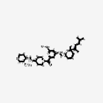 COc1cc(NC[C@H]2CCCC(C)(/C(C)=C/C=C(C)C)O2)cc(C(=O)N2CCC(NC[C@H]3CCOC[C@H]3OC)CC2)n1